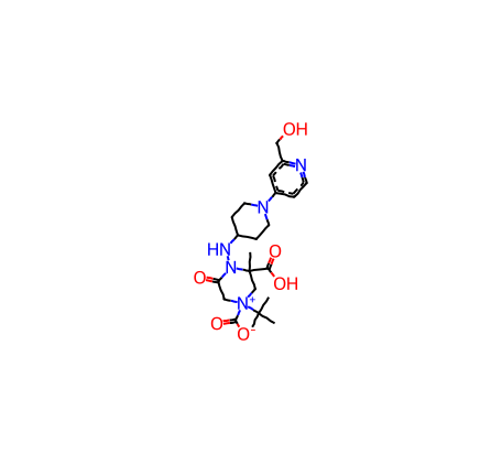 CC1(C(=O)O)C[N+](C(=O)[O-])(C(C)(C)C)CC(=O)N1NC1CCN(c2ccnc(CO)c2)CC1